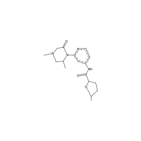 CC1CCC(C(=O)Nc2ccnc(N3C(=O)CN(C)CC3C)c2)O1